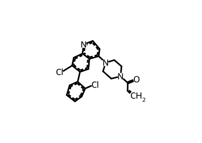 C=CC(=O)N1CCN(c2ccnc3cc(Cl)c(-c4ccccc4Cl)cc23)CC1